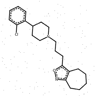 Clc1ccccc1C1CCN(CCCc2onc3c2CCCCC3)CC1